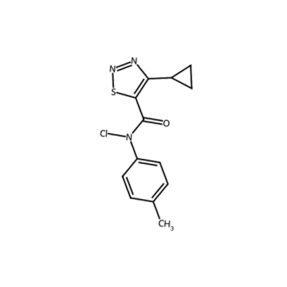 Cc1ccc(N(Cl)C(=O)c2snnc2C2CC2)cc1